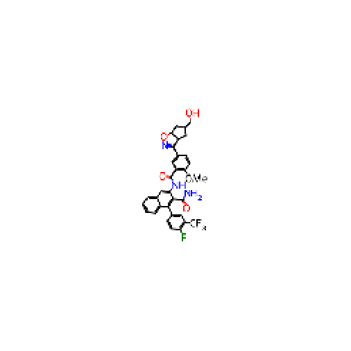 COc1ccc(C2=NOC3CC(CO)CC23)cc1C(=O)Nc1cc2ccccc2c(-c2ccc(F)c(C(F)(F)F)c2)c1C(N)=O